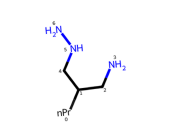 CCCC(CN)CNN